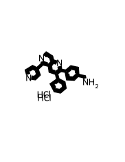 Cl.Cl.NCc1ccc(-c2nc3ccnc(-c4ccncc4)c3cc2-c2ccccc2)cc1